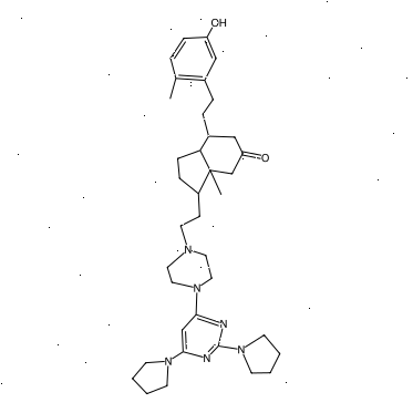 Cc1ccc(O)cc1CCC1CC(=O)CC2(C)C(CCN3CCN(c4cc(N5CCCC5)nc(N5CCCC5)n4)CC3)CCC12